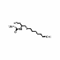 CCCCCCCCCCCCCCCCSCC(CO)NC(=O)OC(C)(C)C